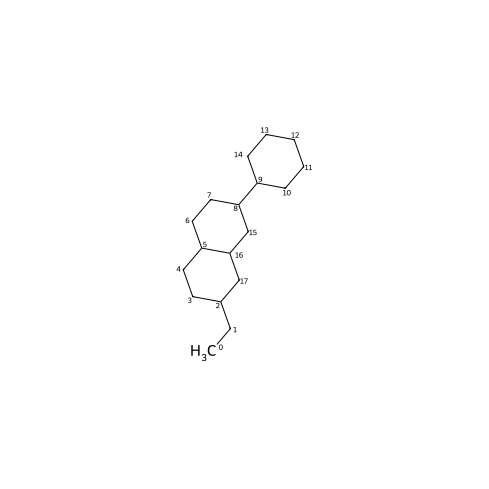 CCC1CCC2CCC(C3CCCCC3)CC2C1